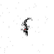 Cn1c(-c2cn(CC(F)F)nc2C(F)(F)F)cnc1C(=O)Nc1ccc(C(=O)N2CCN(CCN)CC2)c(Cl)c1